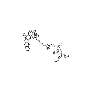 C#CCOCC(CC)(CO)COCC(CC)(COCc1cn(CCCCCC(=O)O[C@]2(CC)C(=O)OCc3c2cc2n(c3=O)Cc3cc4ccccc4nc3-2)nn1)COC(C)C